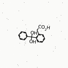 O=C(O)Cc1ccccc1C(O)(O)c1ccccc1